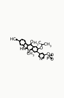 C#Cc1ccc2c(c1)[nH]c1c2c(=O)c2cc(OC(C)C)c(-c3cncc(OS(=O)(=O)F)c3)cc2n1C